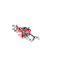 CCC[C@H](C)/C=C/C=C/C=C(\C)[C@H](C[C@@H]1CCC(C)C(O)(C(=O)C(=O)N2CCC[C@@H]3C(CC4CC[C@@H](OP(C)(=O)OCC)C(OC)C4)[C@H](CC(=O)C(C)/C=C(\C)C(O)[C@@H](OC)C(C)=O)OC(=O)C32)O1)OC